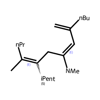 C=C(/C=C(\C/C(=C(/C)CCC)[C@@H](C)CCC)NC)CCCC